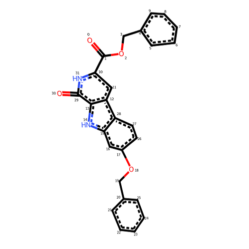 O=C(OCc1ccccc1)c1cc2c([nH]c3cc(OCc4ccccc4)ccc32)c(=O)[nH]1